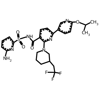 CC(C)Oc1ccc(-c2ccc(C(=O)NS(=O)(=O)c3cccc(N)n3)c(N3CCCC(CC(F)(F)F)C3)n2)cn1